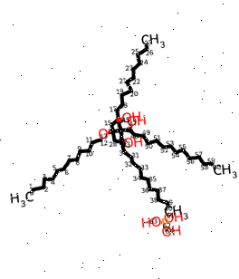 CCCCCCCCCCCCCOC(CCCCCCCCCCCCC)(CCCCCCCCCCCCC)C(CO)(CO)C(O)CCCCCCCCCCCCC.OP(O)O